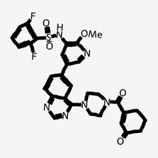 COc1ncc(-c2ccc3ncnc(N4CCN(C(=O)C5=CC(=O)CCC5)CC4)c3c2)cc1NS(=O)(=O)c1c(F)cccc1F